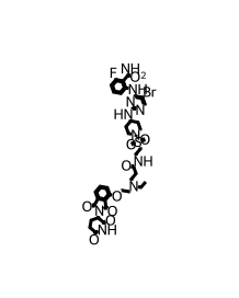 CCN(CCOc1cccc2c1C(=O)N(C1CCC(=O)NC1=O)C2=O)CCC(=O)NCCS(=O)(=O)N1CCC(Nc2ncc(Br)c(Nc3cccc(F)c3C(N)=O)n2)CC1